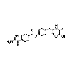 C[C@H](NC(=O)Cc1ccc(OC(=O)c2ccc(NC(=N)N)cc2)cc1)C(=O)O